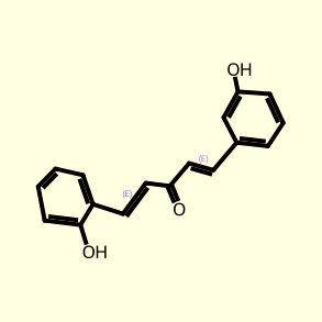 O=C(/C=C/c1cccc(O)c1)/C=C/c1ccccc1O